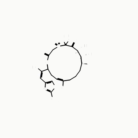 C/C1=C/CC(/C(C)=C\c2csc(C)n2)OC(=O)CS(=O)(=O)C(C)(C)C(=O)[C@H](C)[C@H](O)[C@@H](C)CCC1